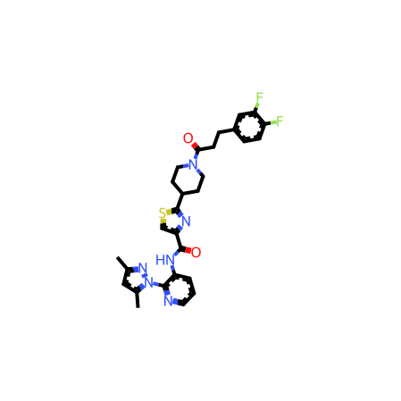 Cc1cc(C)n(-c2ncccc2NC(=O)c2csc(C3CCN(C(=O)CCc4ccc(F)c(F)c4)CC3)n2)n1